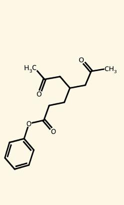 CC(=O)CC(CCC(=O)Oc1ccccc1)CC(C)=O